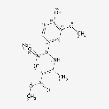 COC(=O)C=C(C)NC(C(=O)[O-])c1ccc(O)c(OC)c1.[Na+]